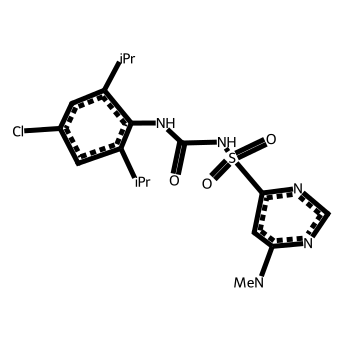 CNc1cc(S(=O)(=O)NC(=O)Nc2c(C(C)C)cc(Cl)cc2C(C)C)ncn1